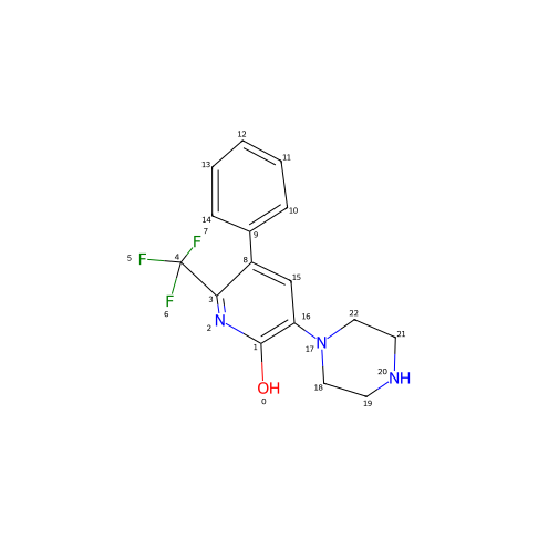 Oc1nc(C(F)(F)F)c(-c2ccccc2)cc1N1CCNCC1